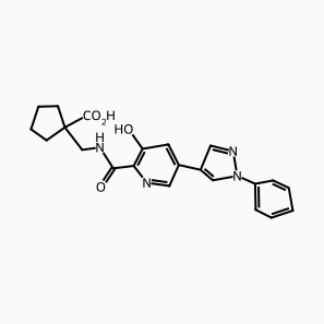 O=C(NCC1(C(=O)O)CCCC1)c1ncc(-c2cnn(-c3ccccc3)c2)cc1O